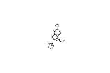 Cl.Clc1ccc2oc([C@@H]3CCCN3)cc2n1